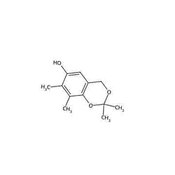 Cc1c(O)cc2c(c1C)OC(C)(C)OC2